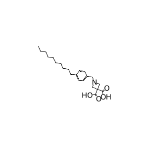 CCCCCCCCCCc1ccc(CN2CC(C(=O)O)(C(=O)O)C2)cc1